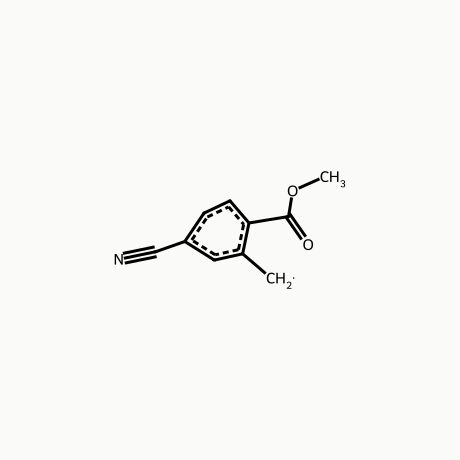 [CH2]c1cc(C#N)ccc1C(=O)OC